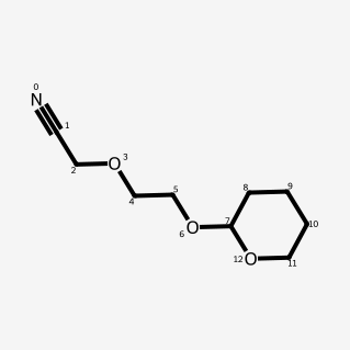 N#CCOCCOC1CCCCO1